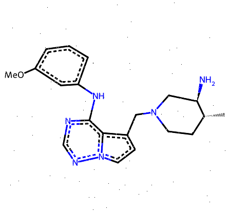 COc1cccc(Nc2ncnn3ccc(CN4CC[C@@H](C)[C@H](N)C4)c23)c1